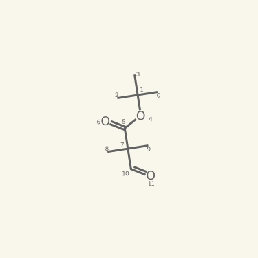 CC(C)(C)OC(=O)C(C)(C)C=O